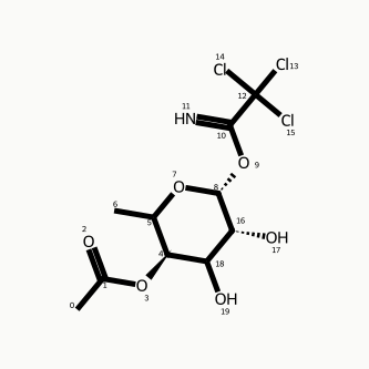 CC(=O)O[C@H]1C(C)O[C@H](OC(=N)C(Cl)(Cl)Cl)[C@H](O)C1O